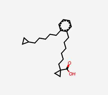 O=C(O)C1(CCCCCCc2ccccc2CCCCCC2CC2)CC1